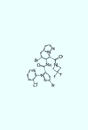 O=C(Nc1c(Br)cc2ccnn2c1C(=O)N1CC(F)(F)C1)c1cc(Br)nn1-c1ncccc1Cl